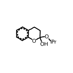 CC(C)OC1(O)CCc2ccccc2O1